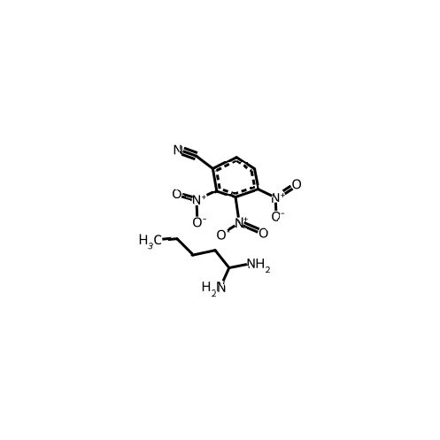 CCCCC(N)N.N#Cc1ccc([N+](=O)[O-])c([N+](=O)[O-])c1[N+](=O)[O-]